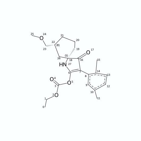 CCOC(=O)OC1=C(c2cc(C)ccc2C)C(=O)[C@@]2(CCC[C@@H](COC)C2)N1